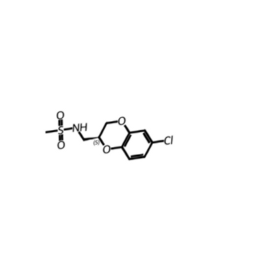 CS(=O)(=O)NC[C@H]1COc2cc(Cl)ccc2O1